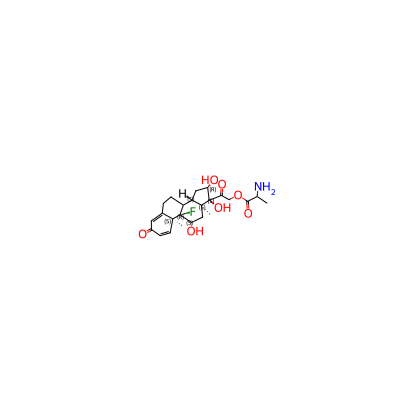 CC(N)C(=O)OCC(=O)[C@@]1(O)[C@H](O)C[C@H]2C3CCC4=CC(=O)C=C[C@]4(C)[C@@]3(F)[C@@H](O)C[C@@]21C